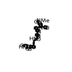 CNC(=O)N1CCn2c(C3CCOCC3)nc(-c3cccc4cc(-c5ccc(C(=O)NCCC#Cc6cccc7c6CN(C6CCC(=O)NC6=O)C7=O)nc5)ncc34)c2C1